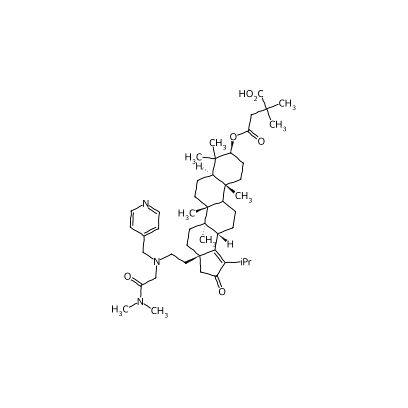 CC(C)C1=C2[C@H]3CCC4[C@@]5(C)CC[C@H](OC(=O)CC(C)(C)C(=O)O)C(C)(C)[C@@H]5CC[C@@]4(C)[C@]3(C)CC[C@@]2(CCN(CC(=O)N(C)C)Cc2ccncc2)CC1=O